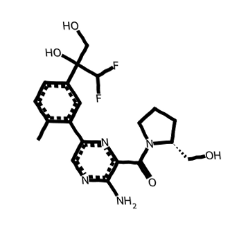 Cc1ccc(C(O)(CO)C(F)F)cc1-c1cnc(N)c(C(=O)N2CCC[C@@H]2CO)n1